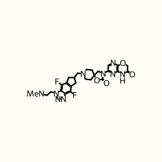 CNCCn1nnc2c(F)c3c(c(F)c21)CC(CN1CCC2(CC1)CN(c1cnc4c(n1)NC(=O)CO4)C(=O)O2)C3